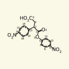 O=C(O)CC(C(=O)Oc1ccc([N+](=O)[O-])cc1)c1ccc([N+](=O)[O-])cc1